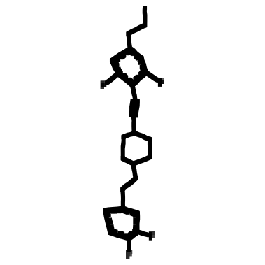 CCCc1cc(F)c(C#CC2CCC(CCc3ccc(F)c(F)c3)CC2)c(F)c1